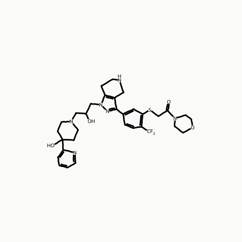 O=C(CSc1cc(-c2nn(CC(O)CN3CCC(O)(c4ccccn4)CC3)c3c2CNCC3)ccc1C(F)(F)F)N1CCOCC1